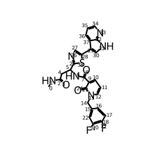 CNC(=O)CC(NC(=O)c1cccn(Cc2ccc(F)c(F)c2)c1=O)c1ncc(-c2c[nH]c3ncccc23)s1